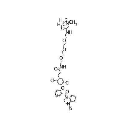 C[N+](C)(C)CC(=O)NCCOCCOCCOCCNC(=O)CCc1cc(Cl)c(Oc2ccncc2C(=O)N2CCN(C3CC3)c3ccccc32)cc1Cl